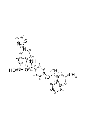 Cc1cc(C(C)Oc2ccc(C(=O)NC3(CC(=O)NO)CCN(c4nccs4)CC3)cc2)c2ccccc2n1